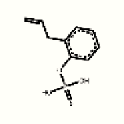 C=CCc1ccccc1OP(O)(O)=S